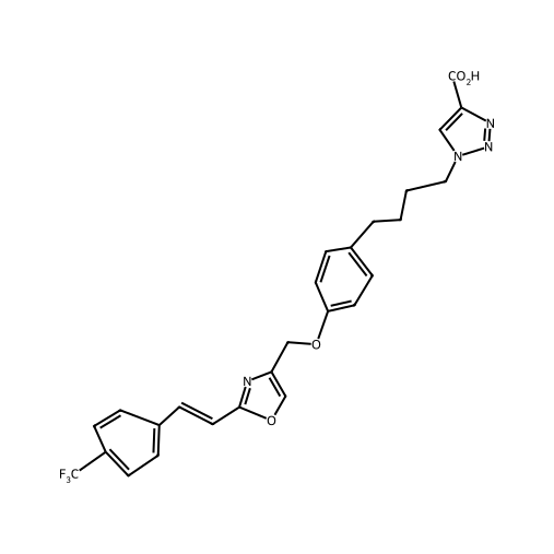 O=C(O)c1cn(CCCCc2ccc(OCc3coc(C=Cc4ccc(C(F)(F)F)cc4)n3)cc2)nn1